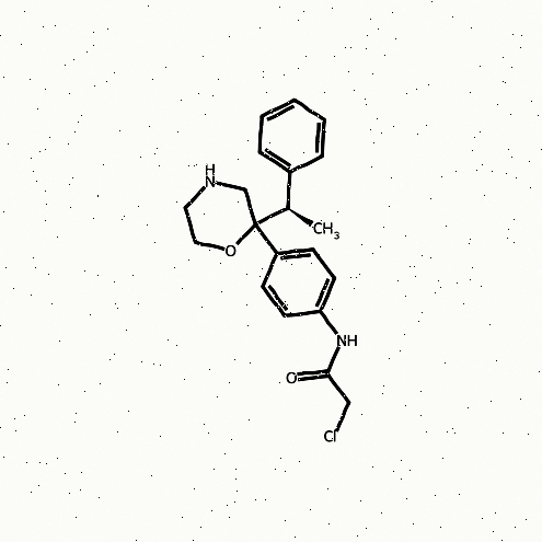 C[C@H](c1ccccc1)C1(c2ccc(NC(=O)CCl)cc2)CNCCO1